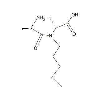 CCCCCN(C(=O)[C@@H](C)N)[C@H](C)C(=O)O